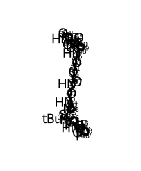 CC(C)(C)c1nc(-c2cccc(NS(=O)(=O)c3c(F)cccc3F)c2F)c(-c2ccnc(NCCOCCNC(=O)C=COCCOCCNc3cccc4c3C(=O)N(C3CCC(=O)NC3=O)C4=O)n2)s1